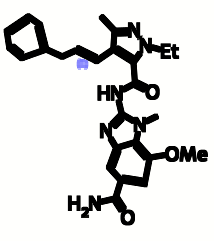 CCn1nc(C)c(/C=C/Cc2ccccc2)c1C(=O)Nc1nc2cc(C(N)=O)cc(OC)c2n1C